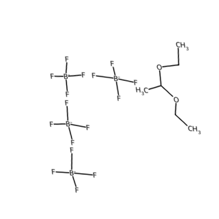 CCOC(C)OCC.F[B-](F)(F)F.F[B-](F)(F)F.F[B-](F)(F)F.F[B-](F)(F)F